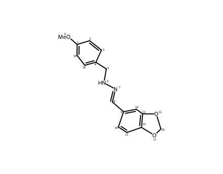 COc1ccc(CNN=Cc2ccc3c(c2)OCO3)cc1